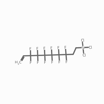 C=CC(F)(F)C(F)(F)C(F)(F)C(F)(F)C(F)(F)C(F)(F)CC[Si](Cl)(Cl)Cl